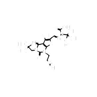 COCCn1c(=O)n(CC(C)(C)C)c(=O)c2c(C)c(C=NN(C(=O)O)C(C)(C)C)sc21